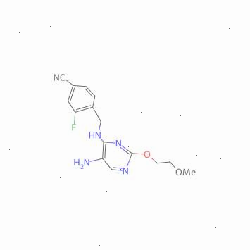 COCCOc1ncc(N)c(NCc2ccc(C#N)cc2F)n1